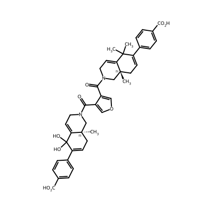 CC1(C)C(c2ccc(C(=O)O)cc2)=CC[C@]2(C)CN(C(=O)c3cocc3C(=O)N3CC=C4C(O)(O)C(c5ccc(C(=O)O)cc5)=CC[C@]4(C)C3)CC=C12